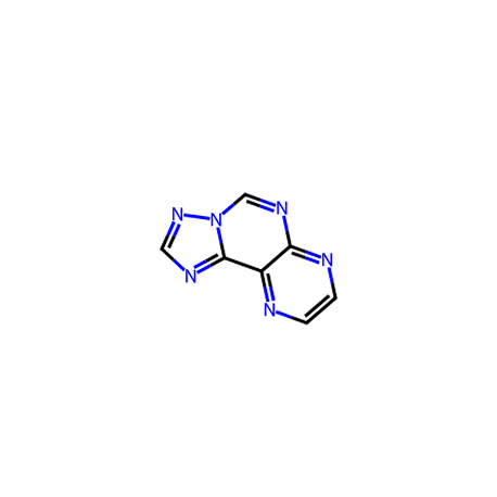 c1cnc2c(n1)ncn1ncnc21